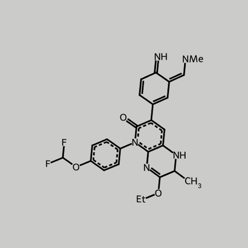 CCOC1=Nc2c(cc(C3=C/C(=C/NC)C(=N)C=C3)c(=O)n2-c2ccc(OC(F)F)cc2)NC1C